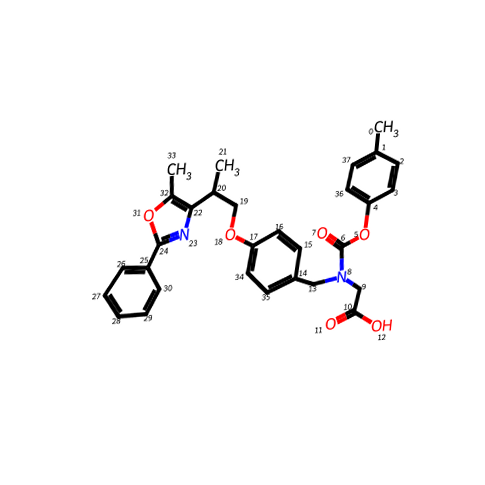 Cc1ccc(OC(=O)N(CC(=O)O)Cc2ccc(OCC(C)c3nc(-c4ccccc4)oc3C)cc2)cc1